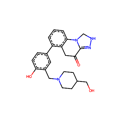 O=C1Cc2c(-c3ccc(O)c(CN4CCC(CO)CC4)c3)cccc2N2CNN=C12